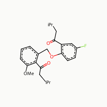 COc1cccc(COc2ccc(F)cc2C(=O)CC(C)C)c1C(=O)CC(C)C